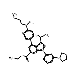 CCOC(=O)c1cc(-c2ccc(N(C)CCOC)nc2)c2c(C(C)C)nn(-c3cccc(N4CCCC4)c3)c2n1